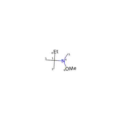 CCC(C)(C)N(C)OC